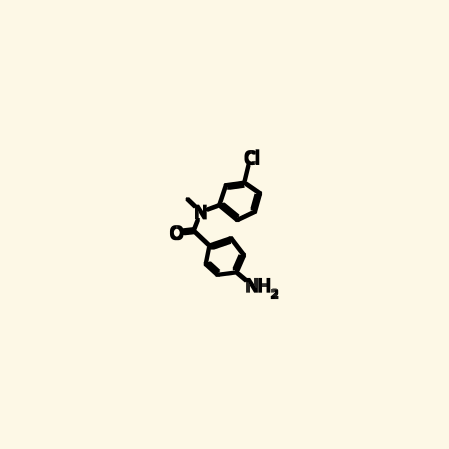 CN(C(=O)c1ccc(N)cc1)c1cccc(Cl)c1